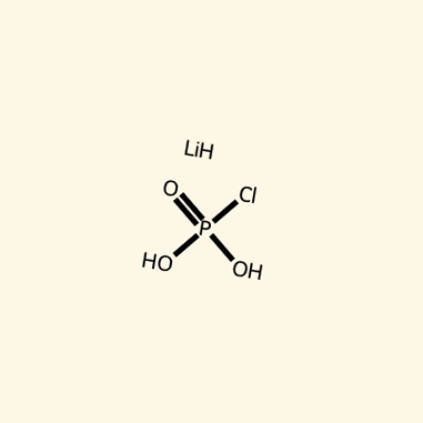 O=P(O)(O)Cl.[LiH]